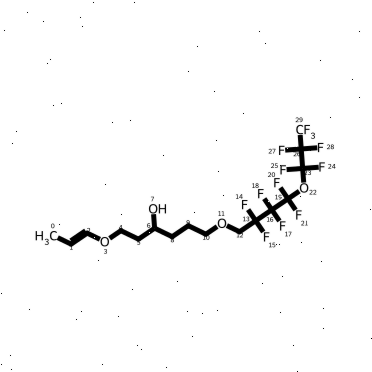 CC=COCCC(O)CCCOCC(F)(F)C(F)(F)C(F)(F)OC(F)(F)C(F)(F)C(F)(F)F